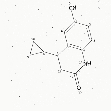 N#Cc1ccc2c(c1)C(C1CC1)CC(=O)N2